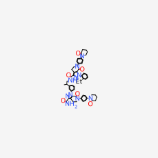 CCc1ccccc1-n1nc(C(=O)NCC(C)c2cccc(-n3nc(C(N)=O)c4c3C(=O)N(c3ccc(N5CCCCC5=O)cc3)CC4)c2)c2c1C(=O)N(c1ccc(N3CCCCC3=O)cc1)CC2